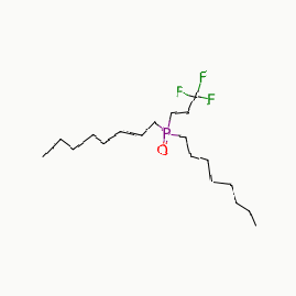 CCCCCCCCP(=O)(CCCCCCCC)CCC(F)(F)F